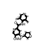 COc1cnc(C(=O)Nc2c(F)cncc2F)cc1OC1CCOC1